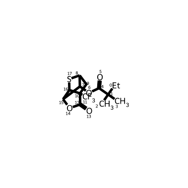 CCC(C)(C)C(=O)OC1C2CC3(C(F)(F)F)C(=O)OC1C3S2